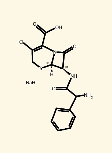 NC(C(=O)N[C@@H]1C(=O)N2C(C(=O)O)=C(Cl)CS[C@H]12)c1ccccc1.[NaH]